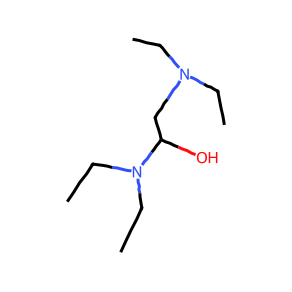 CCN(CC)CC(O)N(CC)CC